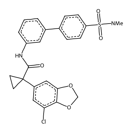 CNS(=O)(=O)c1ccc(-c2cccc(NC(=O)C3(c4cc(Cl)c5c(c4)OCO5)CC3)c2)cc1